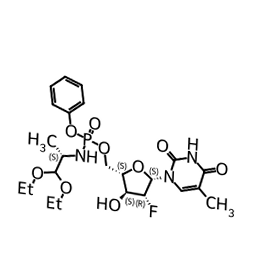 CCOC(OCC)[C@H](C)NP(=O)(OC[C@@H]1O[C@H](n2cc(C)c(=O)[nH]c2=O)[C@H](F)[C@H]1O)Oc1ccccc1